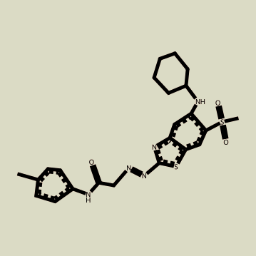 Cc1ccc(NC(=O)CN=Nc2nc3cc(NC4CCCCC4)c(S(C)(=O)=O)cc3s2)cc1